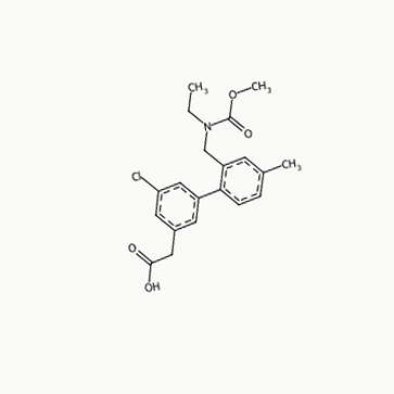 CCN(Cc1cc(C)ccc1-c1cc(Cl)cc(CC(=O)O)c1)C(=O)OC